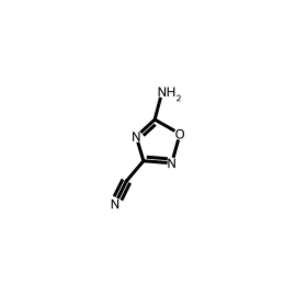 N#Cc1noc(N)n1